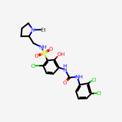 CCN1CCCC1CNS(=O)(=O)c1c(Cl)ccc(NC(=O)Nc2cccc(Cl)c2Cl)c1O